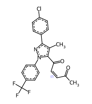 CC(=O)/C=C\C(=O)c1c(C)c(-c2ccc(Cl)cc2)nn1-c1ccc(C(F)(F)F)cc1